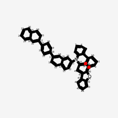 c1ccc(-c2ccccc2N(c2ccc3ccc(-c4ccc(-c5ccc6ccccc6c5)cc4)cc3c2)c2ccc3oc4ccccc4c3c2)cc1